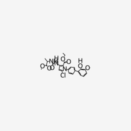 CCOC(=O)c1c(NC(=O)NC(C)C(=O)OC)cc(Cl)n1-c1ccc(-c2cccc(OC)c2O)cc1